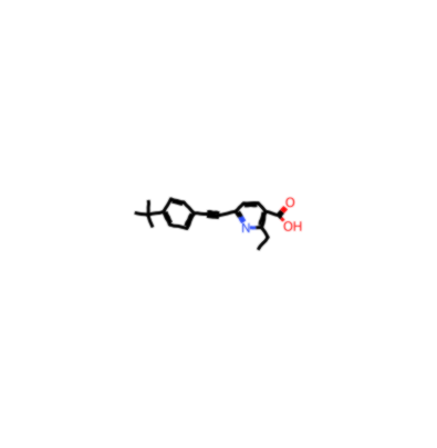 CCc1nc(C#Cc2ccc(C(C)(C)C)cc2)ccc1C(=O)O